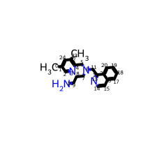 Cc1cnc(CN(CCCN)Cc2nccc3ccccc23)c(C)c1